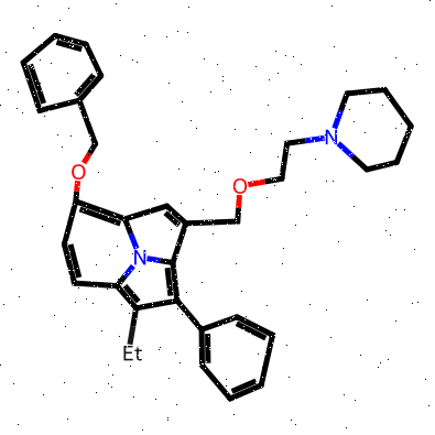 CCc1c(-c2ccccc2)c2c(COCCN3CCCCC3)cc3c(OCc4ccccc4)ccc1n32